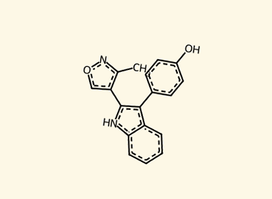 Cc1nocc1-c1[nH]c2ccccc2c1-c1ccc(O)cc1